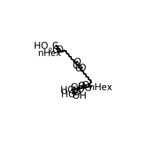 CCCCCCC(C/C=C\CCCCCCCC(=O)OCOC(=O)CCCCCCC/C=C\CC(CCCCCC)OC(=O)CC(=O)OCC1OC(O)C(O)C(O)C1O)OC(=O)CC(=O)O